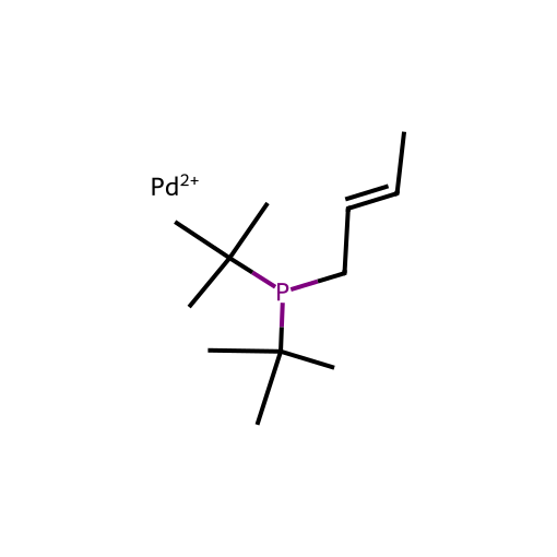 CC=CCP(C(C)(C)C)C(C)(C)C.[Pd+2]